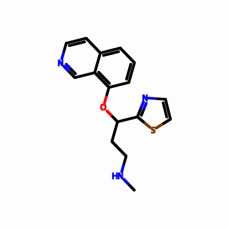 CNCCC(Oc1cccc2ccncc12)c1nccs1